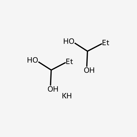 CCC(O)O.CCC(O)O.[KH]